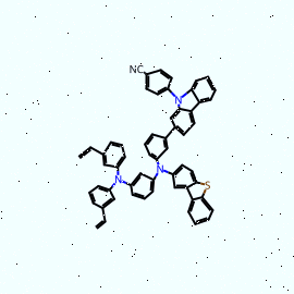 C=Cc1cccc(N(c2cccc(C=C)c2)c2cccc(N(c3cccc(-c4ccc5c6ccccc6n(-c6ccc(C#N)cc6)c5c4)c3)c3ccc4sc5ccccc5c4c3)c2)c1